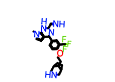 Cn1ccc2c1NC(C=N)N=C2c1ccc(OCCC2C3CCC2CNC3)c(C(F)(F)F)c1